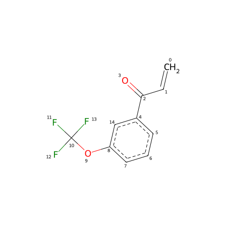 C=CC(=O)c1cccc(OC(F)(F)F)c1